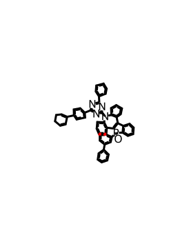 O=P1(c2cccc(-c3ccccc3)c2)C2=C(c3ccccc3N(c3nc(-c4ccccc4)nc(-c4ccc(C5=CCCC=C5)cc4)n3)c3ccccc32)c2ccccc21